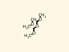 COC.COCOCOC